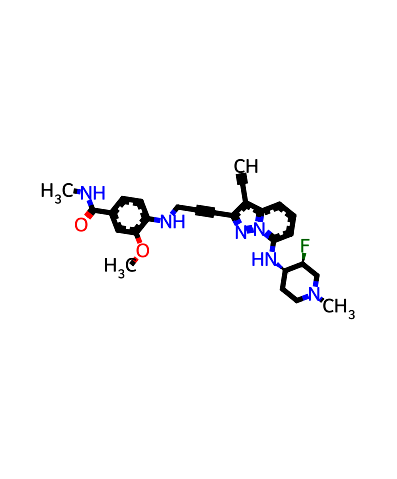 C#Cc1c(C#CCNc2ccc(C(=O)NC)cc2OC)nn2c(N[C@@H]3CCN(C)C[C@@H]3F)cccc12